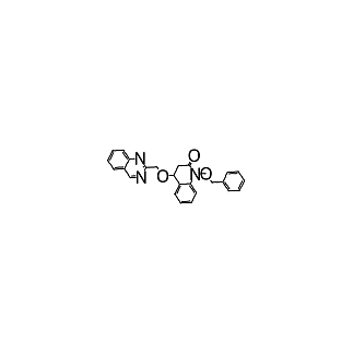 O=C1CC(OCc2ncc3ccccc3n2)c2ccccc2N1OCc1ccccc1